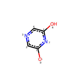 [O]c1cncc(O)n1